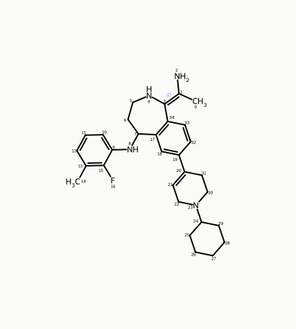 C/C(N)=C1/NCCC(Nc2cccc(C)c2F)c2cc(C3=CCN(C4CCCCC4)CC3)ccc21